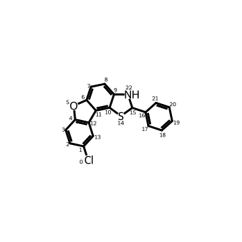 Clc1ccc2oc3ccc4c(c3c2c1)SC(c1ccccc1)N4